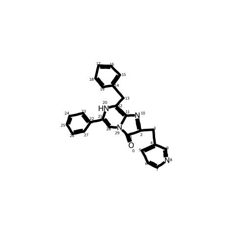 O=c1c(Cc2cccnc2)nc2c(Cc3ccccc3)[nH]c(-c3ccccc3)cn1-2